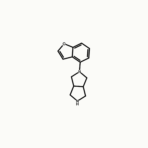 c1cc(N2CC3CNCC3C2)c2ccoc2c1